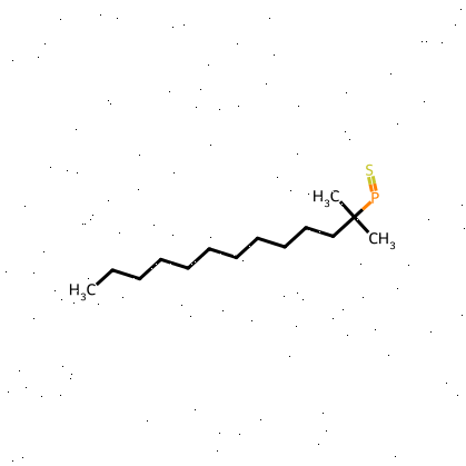 CCCCCCCCCCCC(C)(C)P=S